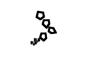 C1CCCC1.C1CCCC1.C1CCCC1.C1CCCC1.S.S